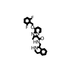 Cc1nc2c(OCc3c(F)cccc3F)cccn2c1C(=O)NCC1NCCc2ccccc21